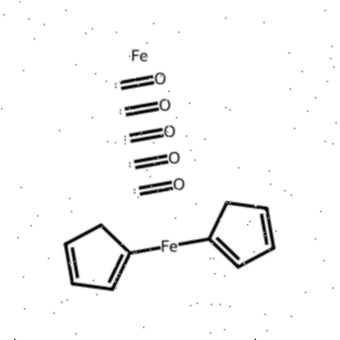 C1=CC[C]([Fe][C]2=CC=CC2)=C1.[C]=O.[C]=O.[C]=O.[C]=O.[C]=O.[Fe]